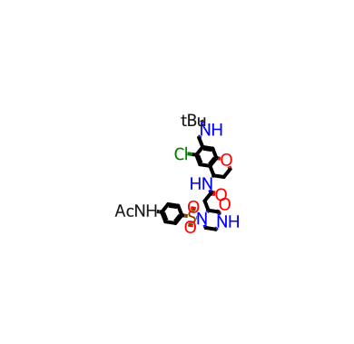 CC(=O)Nc1ccc(S(=O)(=O)N2CCNC(=O)C2CC(=O)N[C@@H]2CCOc3cc(CNC(C)(C)C)c(Cl)cc32)cc1